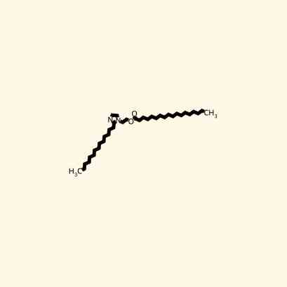 CCCCCCCCCCCCCCCCCC(=O)OCCN1CCN=C1CCCCCCCCCCCCCC